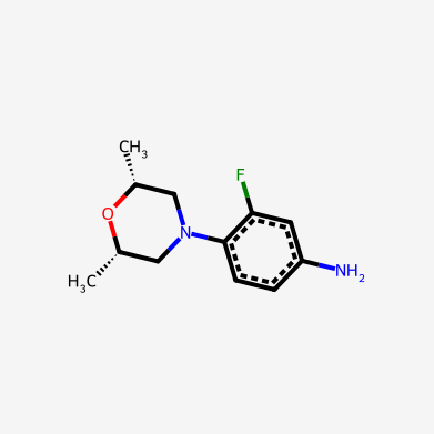 C[C@@H]1CN(c2ccc(N)cc2F)C[C@H](C)O1